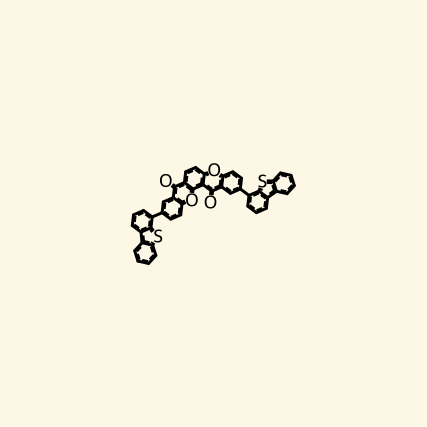 O=c1c2cc(-c3cccc4c3sc3ccccc34)ccc2oc2c1ccc1oc3ccc(-c4cccc5c4sc4ccccc45)cc3c(=O)c12